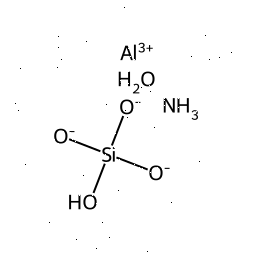 N.O.[Al+3].[O-][Si]([O-])([O-])O